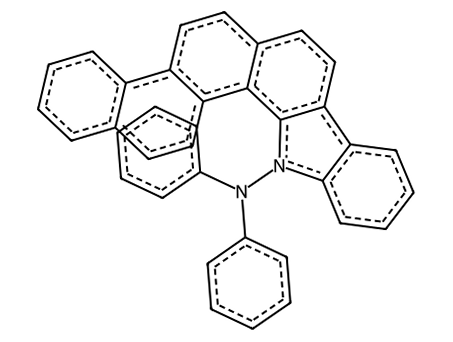 c1ccc(N(c2ccccc2)n2c3ccccc3c3ccc4ccc5c6ccccc6ccc5c4c32)cc1